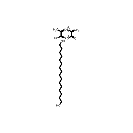 C=C(C)C(=O)O.C=C(C)C(=O)O.OCCCCCCCCCCCCCCCCO